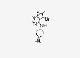 Cc1sc2ncnc(N[C@H]3CC[C@H](N(C)C)CC3)c2c1Br